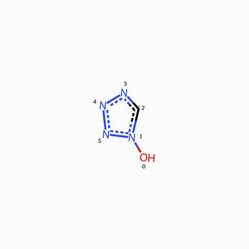 On1[c]nnn1